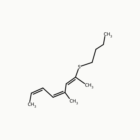 C\C=C/C=C(C)\C=C(/C)SCCCC